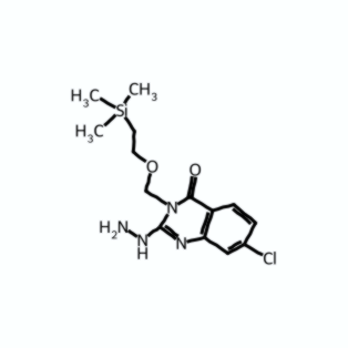 C[Si](C)(C)CCOCn1c(NN)nc2cc(Cl)ccc2c1=O